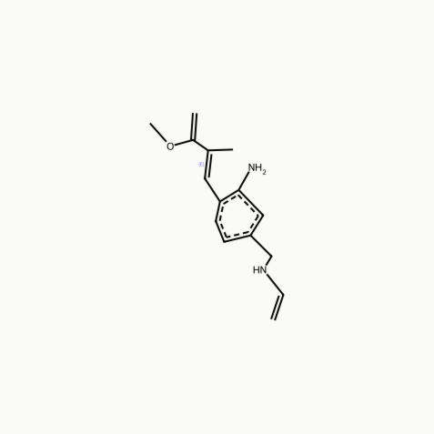 C=CNCc1ccc(/C=C(\C)C(=C)OC)c(N)c1